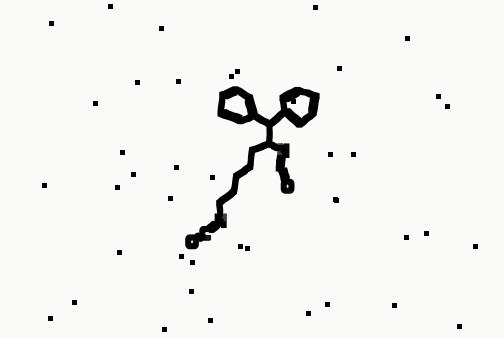 O=C=NCCCCCC(N=C=O)C(c1ccccc1)c1ccccc1